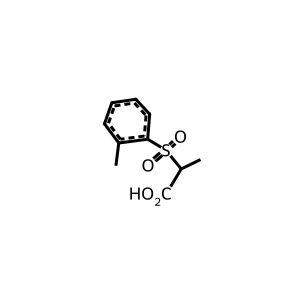 Cc1ccccc1S(=O)(=O)C(C)C(=O)O